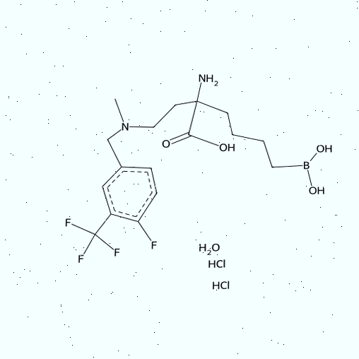 CN(CCC(N)(CCCCB(O)O)C(=O)O)Cc1ccc(F)c(C(F)(F)F)c1.Cl.Cl.O